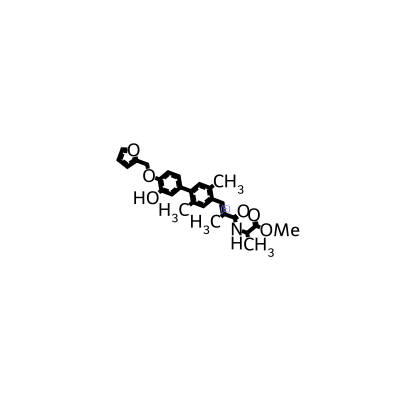 COC(=O)C(C)NC(=O)/C(C)=C/c1cc(C)c(-c2ccc(OCc3ccco3)c(O)c2)cc1C